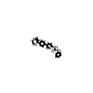 O=C(Nc1ccccc1)Nc1ccc(-c2ccc(C34CCN(CCO3)C4)cc2)cn1